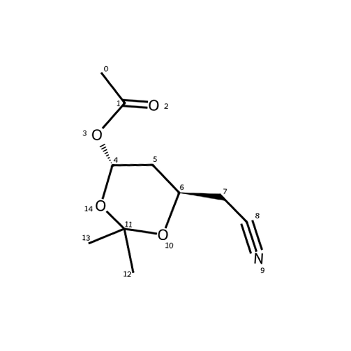 CC(=O)O[C@@H]1C[C@@H](CC#N)OC(C)(C)O1